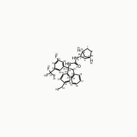 O=C(N[C@@H]1C[C@@H]2CC[C@H]1C2)N[C@@](Cc1ccccc1)(c1cc(F)cc(C(F)(F)F)c1)c1ccc(CI)cn1